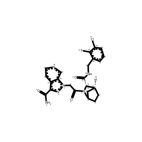 NC(=O)c1nn(CC(=O)N2C3CC[C@@H](C3)[C@H]2C(=O)NCc2cccc(Cl)c2F)c2cnccc12